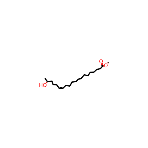 COC(=O)CCCCCCCCCCCC/C=C\CCCC(C)O